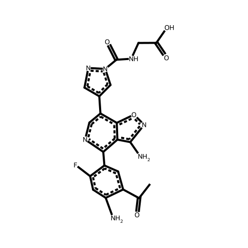 CC(=O)c1cc(-c2ncc(-c3cnn(C(=O)NCC(=O)O)c3)c3onc(N)c23)c(F)cc1N